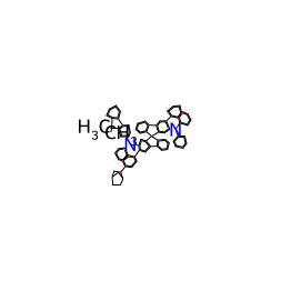 CC1(C)c2ccccc2-c2ccc(N(c3ccccc3)c3cc4c(cc3-c3ccc(C5CC6CCC5C6)cc3)-c3ccccc3C43c4ccccc4-c4cc(-c5ccccc5)c(N(c5ccccc5)c5ccccc5)cc43)cc21